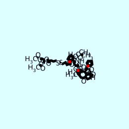 CC(=O)OCC(COC(C)=O)OC(=O)CCCSSCCCC(=O)OC(C(=O)O[C@H]1CC2[C@@H](OC(=O)c3ccccc3)C3C(CC[C@H]4OC[C@@]34OC(C)=O)C(=O)CC(=C1C)C2(C)C)[C@@H](NC(=O)OC(C)(C)C)c1ccccc1